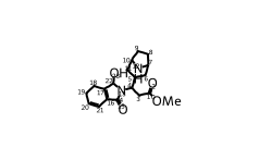 COC(=O)CC(C1CC2CCC(C1)N2)N1C(=O)C2=C(CCC=C2)C1O